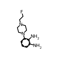 Nc1cccc(N2CCN(CCF)CC2)c1N